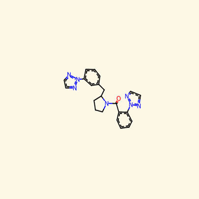 O=C(c1ccccc1-n1nccn1)N1CCCC1Cc1cccc(-n2nccn2)c1